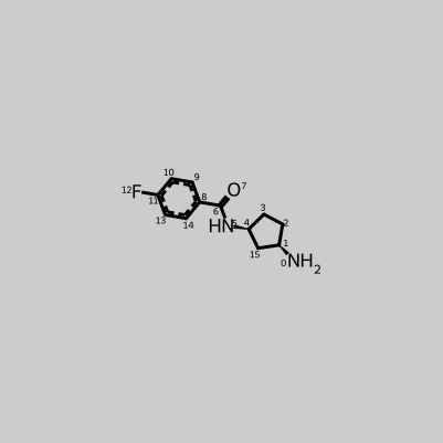 N[C@@H]1CC[C@H](NC(=O)c2ccc(F)cc2)C1